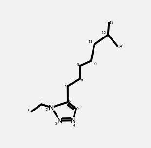 CCn1nncc1CCCCCC(C)C